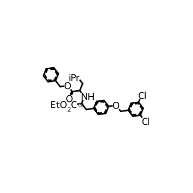 CCOC(=O)[C@H](Cc1ccc(OCc2cc(Cl)cc(Cl)c2)cc1)NC(CC(C)C)C(=O)OCc1ccccc1